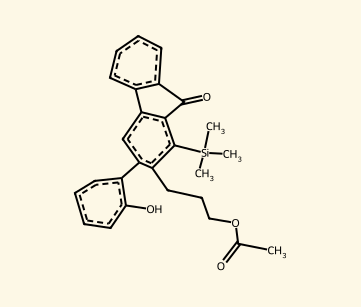 CC(=O)OCCCc1c(-c2ccccc2O)cc2c(c1[Si](C)(C)C)C(=O)c1ccccc1-2